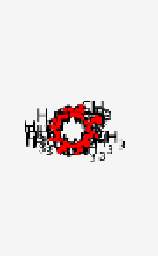 CCC[C@H]1C(=O)N[C@@H]([C@@H](C)CC)C(=O)N2CCC[C@H]2C(=O)N(C)[C@H]2C/C=C\CCN(C2=O)[C@@H](Cc2ccc(C)cc2)C(=O)N(C)CC(=O)N[C@@H](CCc2cc(F)c(C(F)(F)F)c(F)c2)C(=O)N2C[C@H](OCC)C[C@H]2C(=O)N(C)C2(CCC2)C(=O)N(C)[C@@H](C2CCCC2)C(=O)N(C)[C@H](C(=O)N2CCCC2)CC(=O)N1C